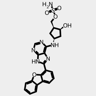 NS(=O)(=O)OC[C@@H]1C[C@@H](Nc2ncnc3[nH]c(-c4cccc5c4oc4ccccc45)nc23)C[C@@H]1O